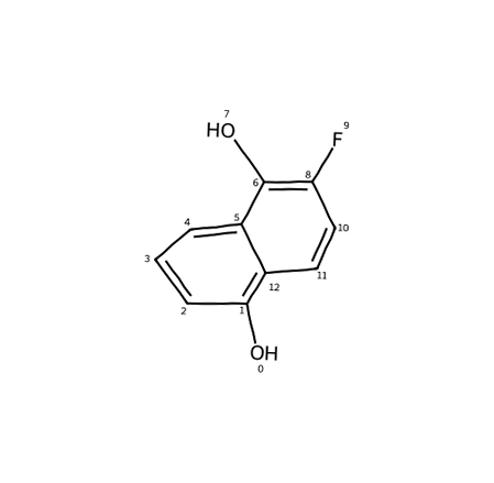 Oc1cccc2c(O)c(F)ccc12